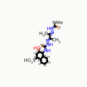 CNC(=S)N/N=C(C)/C(C)=N/NC(=S)Nc1c(O)cc(S(=O)(=O)O)c2ccccc12